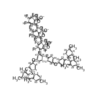 Cc1ccc([S+](c2ccc(Oc3ccc([I+]c4ccc(Oc5ccc([S+](c6ccc(C)cc6C)c6ccc(C)cc6C)cc5)cc4)cc3)cc2)c2ccc(C)cc2C)c(C)c1.O=S(=O)([O-])c1c(F)c(F)c(F)c(F)c1F.O=S(=O)([O-])c1c(F)c(F)c(F)c(F)c1F.O=S(=O)([O-])c1c(F)c(F)c(F)c(F)c1F